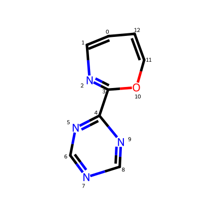 C1=CN=C(c2ncncn2)OC=C1